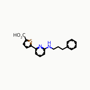 O=C(O)c1ccc(-c2cccc(NCCCc3ccccc3)n2)s1